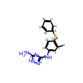 Cc1cc(Nc2n[nH]c(N)n2)ccc1Sc1ccccc1